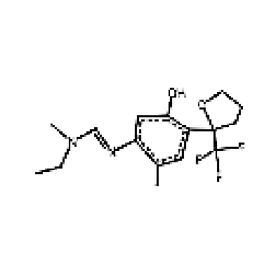 CCN(C)C=Nc1cc(O)c(C2(C(F)(F)F)CCCO2)cc1C